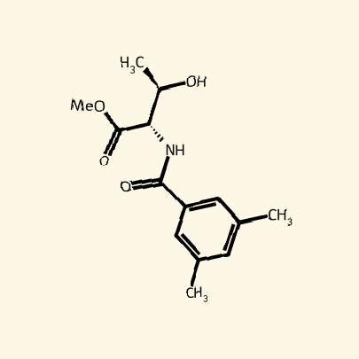 COC(=O)[C@@H](NC(=O)c1cc(C)cc(C)c1)[C@@H](C)O